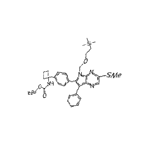 CSc1cnc2c(-c3ccccc3)c(-c3ccc(C4(NC(=O)OC(C)(C)C)CCC4)cc3)n(COCC[Si](C)(C)C)c2n1